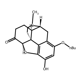 CCCCOc1cc(O)c2c3c1C[C@@H]1[C@@H]4CCC(=O)[C@H](O2)[C@]34CCN1C